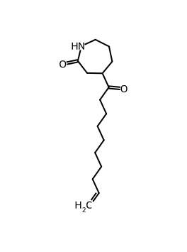 C=CCCCCCCCC(=O)C1CCCNC(=O)C1